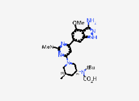 CNc1nc(-c2cc(OC)c3c(N)n[nH]c3c2)cc(N2C[C@H](C)C[C@@H](N(C(=O)O)C(C)(C)C)C2)n1